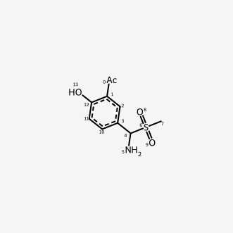 CC(=O)c1cc(C(N)S(C)(=O)=O)ccc1O